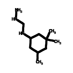 CC1CC(NCNN)CC(C)(C)C1